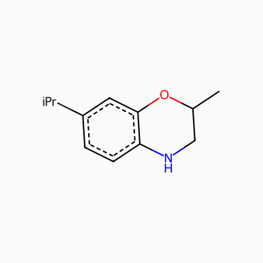 CC1CNc2ccc(C(C)C)cc2O1